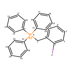 Ic1ccccc1C[PH](c1ccccc1)(c1ccccc1)c1ccccc1